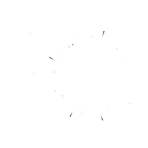 C[C@@H]1CSSC[C@H](N)C(=O)N[C@@H](Cc2ccccc2)C(=O)N[C@@H](Cc2ccccc2)C(=O)N[C@H](Cc2c[nH]c3ccccc23)C(=O)N[C@@H](CCCCN)C(=O)N[C@@H]([C@@H](C)O)C(=O)N[C@@H](Cc2ccccc2)C(=O)N1